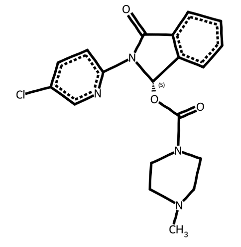 CN1CCN(C(=O)O[C@H]2c3ccccc3C(=O)N2c2ccc(Cl)cn2)CC1